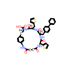 O=C1CCC(=O)NC(c2cccs2)C(=O)N[C@@H](Cc2ccc(-c3ccccc3)cc2)C(=O)N[C@H](Cc2cccs2)C(=O)N[C@H](C(=O)O)Cc2ccc(cc2)N1